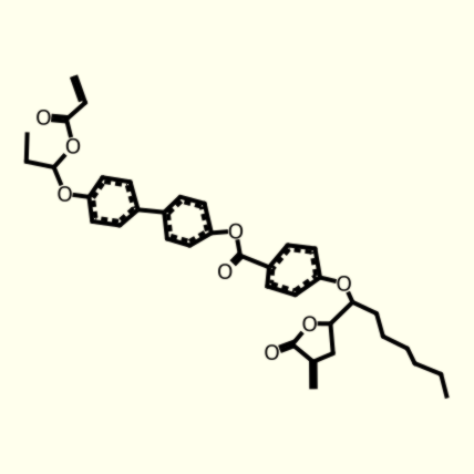 C=CC(=O)OC(CC)Oc1ccc(-c2ccc(OC(=O)c3ccc(OC(CCCCCC)C4CC(=C)C(=O)O4)cc3)cc2)cc1